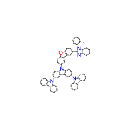 Cc1ccccc1-n1c(-c2ccc3oc4ccc(-n5c6ccc(-n7c8ccccc8c8ccccc87)cc6c6cc(-n7c8ccccc8c8ccccc87)ccc65)cc4c3c2)nc2ccccc21